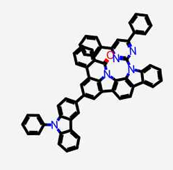 O=c1c2ccccc2c2cc(-c3ccc4c(c3)c3ccccc3n4-c3ccccc3)cc3c4ccc5c6ccccc6n(-c6nc(-c7ccccc7)cc(-c7ccccc7)n6)c5c4n1c23